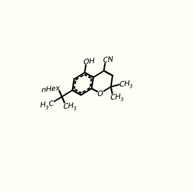 CCCCCCC(C)(C)c1cc(O)c2c(c1)OC(C)(C)CC2C#N